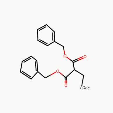 CCCCCCCCCCCC(C(=O)OCc1ccccc1)C(=O)OCc1ccccc1